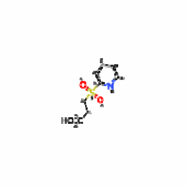 O=C(O)CCS(=O)(=O)c1ccccn1